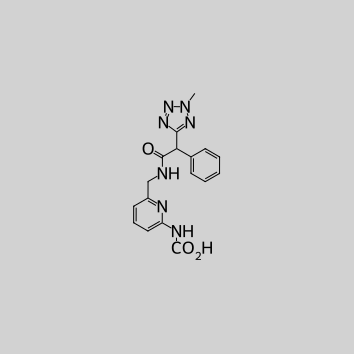 Cn1nnc(C(C(=O)NCc2cccc(NC(=O)O)n2)c2ccccc2)n1